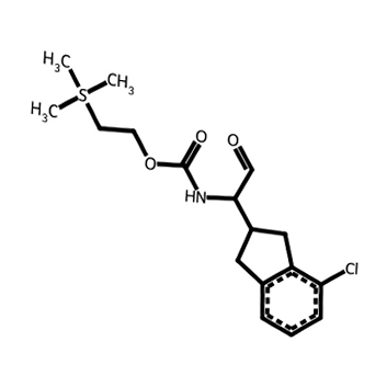 CS(C)(C)CCOC(=O)NC(C=O)C1Cc2cccc(Cl)c2C1